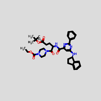 CCOC(=O)N1CCN(C(=O)C(CCC(=O)OC(C)(C)C)NC(=O)c2cc(N[C@@H]3CCc4ccccc43)nc(-c3ccccc3)n2)CC1